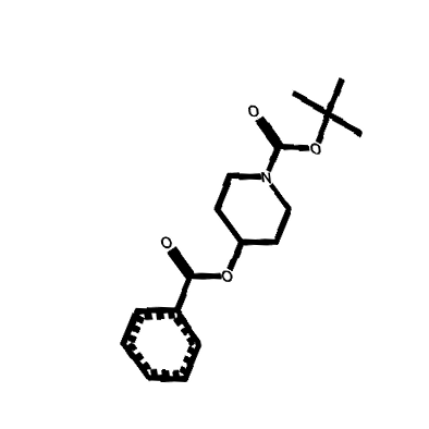 CC(C)(C)OC(=O)N1CCC(OC(=O)c2ccccc2)CC1